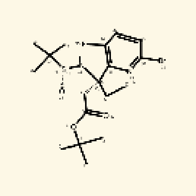 CC(C)(C)OC(=O)C[C@](CF)(N[S@+]([O-])C(C)(C)C)c1nc(Br)ccc1F